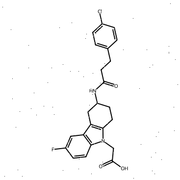 O=C(O)Cn1c2c(c3cc(F)ccc31)CC(NC(=O)CCc1ccc(Cl)cc1)CC2